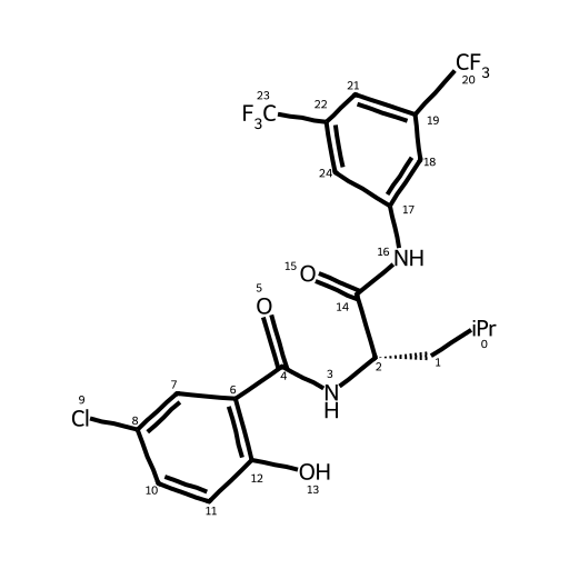 CC(C)C[C@H](NC(=O)c1cc(Cl)ccc1O)C(=O)Nc1cc(C(F)(F)F)cc(C(F)(F)F)c1